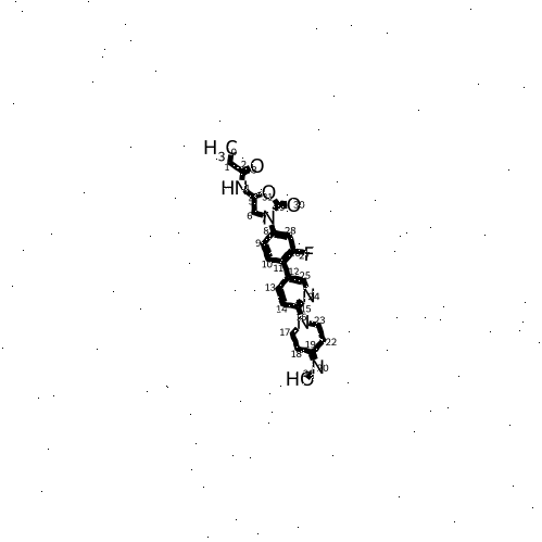 CCC(=O)NC1CN(c2ccc(-c3ccc(N4CCC(=NO)CC4)nc3)c(F)c2)C(=O)O1